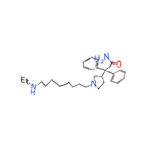 CCNCCCCCCCCN1CCC(C(C(N)=O)(c2ccccc2)c2ccccc2)C1